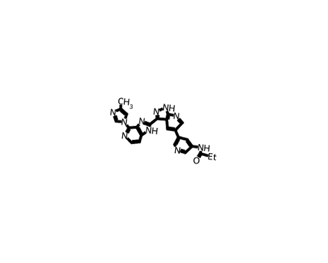 CCC(=O)Nc1cncc(-c2cnc3[nH]nc(-c4nc5c(-n6cnc(C)c6)nccc5[nH]4)c3c2)c1